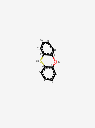 [c]1cccc2c1Oc1ccccc1S2